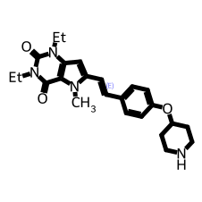 CCn1c(=O)c2c(cc(/C=C/c3ccc(OC4CCNCC4)cc3)n2C)n(CC)c1=O